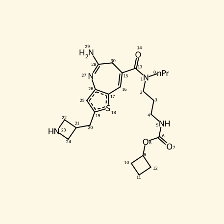 CCCN(CCCNC(=O)OC1CCC1)C(=O)C1=Cc2sc(CC3CNC3)cc2N=C(N)C1